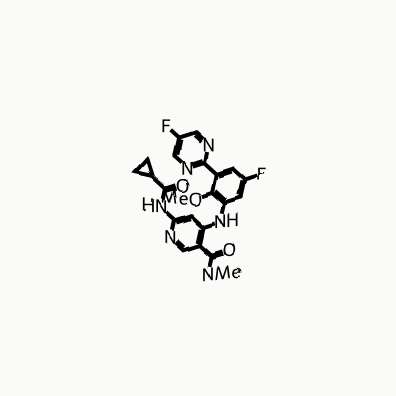 CNC(=O)c1cnc(NC(=O)C2CC2)cc1Nc1cc(F)cc(-c2ncc(F)cn2)c1OC